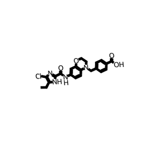 CCc1[nH]c(C(=O)Nc2ccc3c(c2)OCCN3Cc2ccc(C(=O)O)cc2)nc1Cl